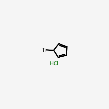 Cl.[Ti][CH]1C=CC=C1